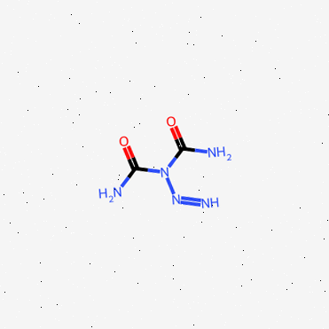 N=NN(C(N)=O)C(N)=O